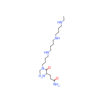 CCNCCCCNCCCCNCCCCN(CC)C(=O)C(N)CCC(N)=O